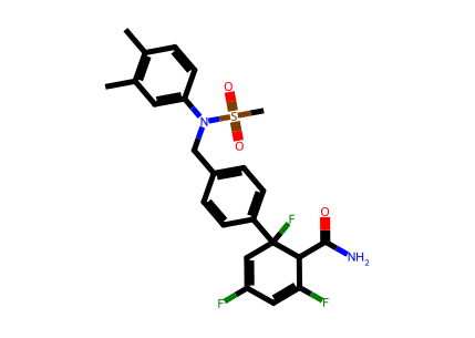 Cc1ccc(N(Cc2ccc(C3(F)C=C(F)C=C(F)C3C(N)=O)cc2)S(C)(=O)=O)cc1C